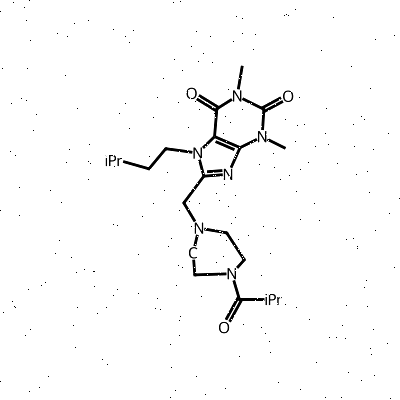 CC(C)CCn1c(CN2CCN(C(=O)C(C)C)CC2)nc2c1c(=O)n(C)c(=O)n2C